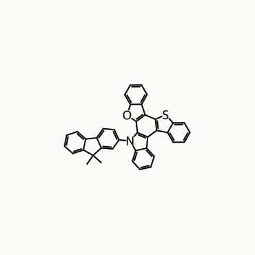 CC1(C)c2ccccc2-c2ccc(-n3c4ccccc4c4c5c6ccccc6sc5c5c6ccccc6oc5c43)cc21